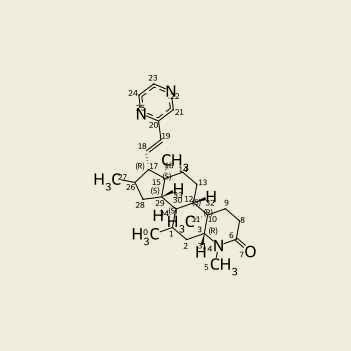 CC1C[C@H]2N(C)C(=O)CC[C@]2(C)[C@H]2CC[C@]3(C)[C@@H](C=Cc4cnccn4)C(C)C[C@H]3[C@H]12